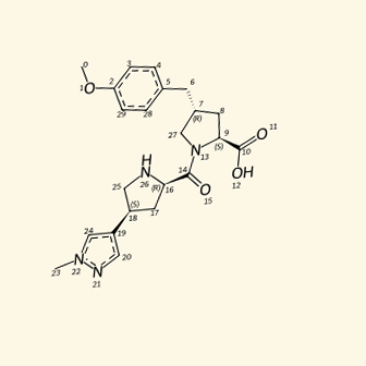 COc1ccc(C[C@@H]2C[C@@H](C(=O)O)N(C(=O)[C@H]3C[C@@H](c4cnn(C)c4)CN3)C2)cc1